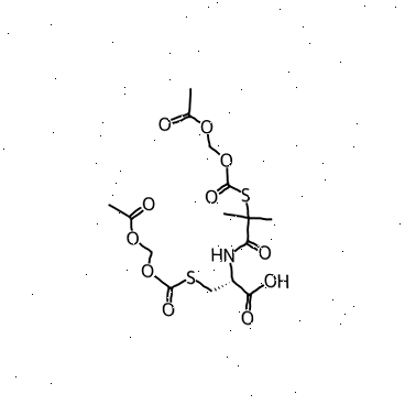 CC(=O)OCOC(=O)SC[C@H](NC(=O)C(C)(C)SC(=O)OCOC(C)=O)C(=O)O